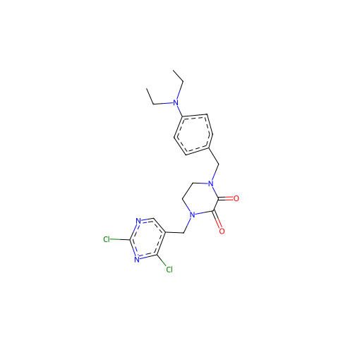 CCN(CC)c1ccc(CN2CCN(Cc3cnc(Cl)nc3Cl)C(=O)C2=O)cc1